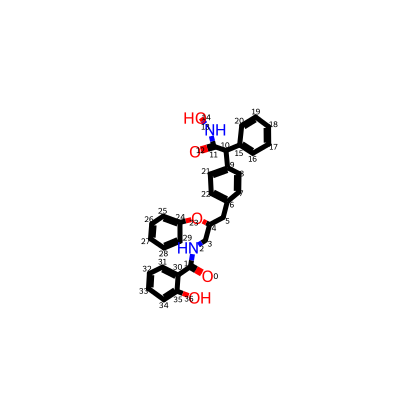 O=C(NCC(Cc1ccc(C(C(=O)NO)c2ccccc2)cc1)Oc1ccccc1)c1ccccc1O